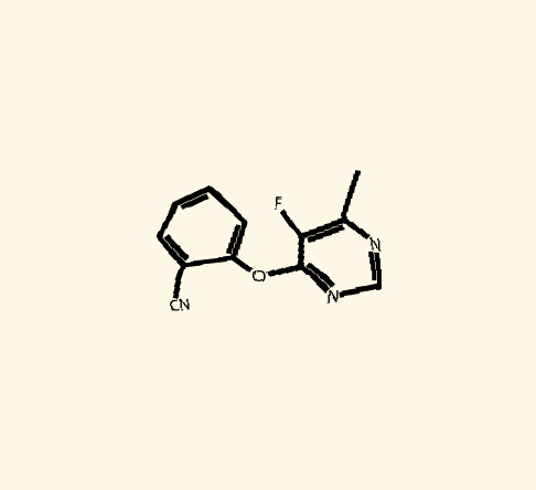 Cc1ncnc(Oc2ccccc2C#N)c1F